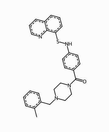 Cc1ccccc1CN1CCN(C(=O)c2ccc(NSc3cccc4cccnc34)cc2)CC1